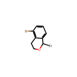 CCC1OCCc2c(Br)cccc21